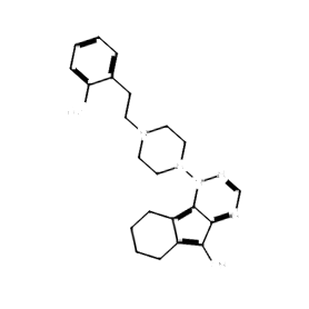 Cc1ccccc1CCN1CCN(n2ncnc3c(C#N)c4c(c2-3)CCCC4)CC1